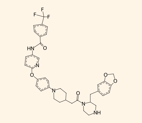 O=C(Nc1ccc(Oc2ccc(N3CCC(CC(=O)N4CCNCC4Cc4ccc5c(c4)OCO5)CC3)cc2)nc1)c1ccc(C(F)(F)F)cc1